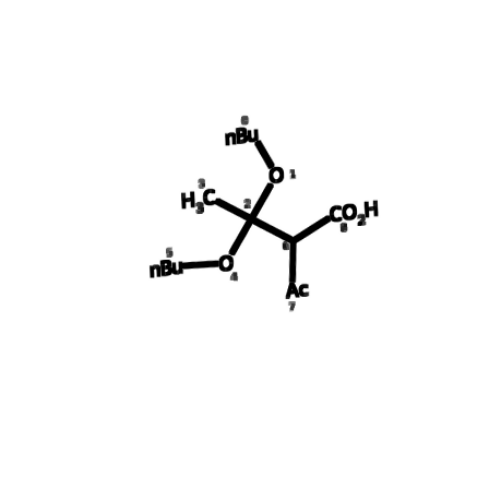 CCCCOC(C)(OCCCC)C(C(C)=O)C(=O)O